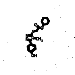 Cn1c(SCC(=O)OC2CCCCC2)nnc1-c1ccc(O)cc1